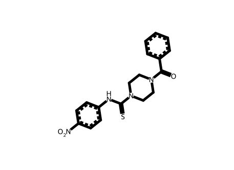 O=C(c1ccccc1)N1CCN(C(=S)Nc2ccc([N+](=O)[O-])cc2)CC1